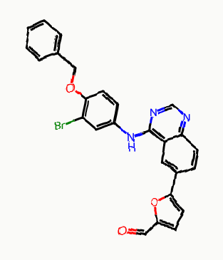 O=Cc1ccc(-c2ccc3ncnc(Nc4ccc(OCc5ccccc5)c(Br)c4)c3c2)o1